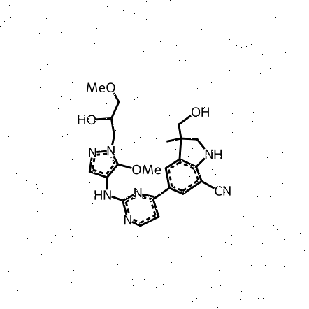 COCC(O)Cn1ncc(Nc2nccc(-c3cc(C#N)c4c(c3)C(C)(CO)CN4)n2)c1OC